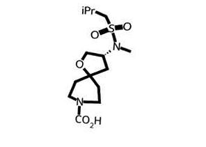 CC(C)CS(=O)(=O)N(C)[C@H]1COC2(CCN(C(=O)O)CC2)C1